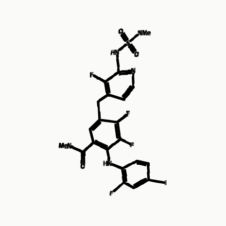 CNC(=O)c1cc(Cc2ccnc(NS(=O)(=O)NC)c2F)c(F)c(F)c1Nc1ccc(I)cc1F